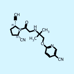 C#C[C@H]1CC[C@@H](C#N)N1C(=O)CNC(C)(C)COc1ccc(C#N)cn1